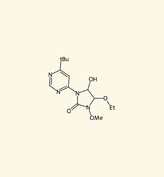 CCOC1C(O)N(c2cc(C(C)(C)C)ncn2)C(=O)N1OC